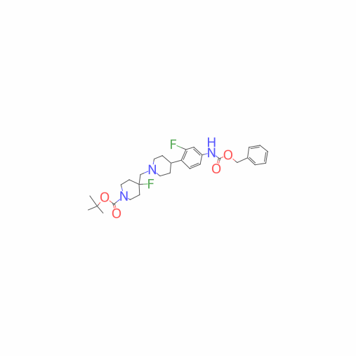 CC(C)(C)OC(=O)N1CCC(F)(CN2CCC(c3ccc(NC(=O)OCc4ccccc4)cc3F)CC2)CC1